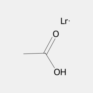 CC(=O)O.[Lr]